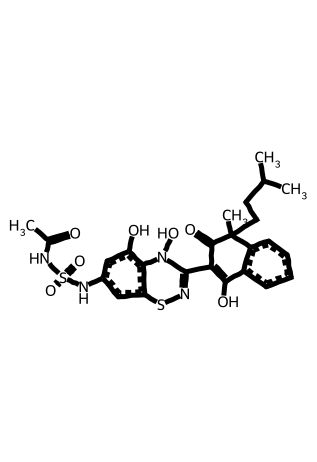 CC(=O)NS(=O)(=O)Nc1cc(O)c2c(c1)SN=C(C1=C(O)c3ccccc3C(C)(CCC(C)C)C1=O)N2O